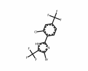 FC(F)(F)c1ccc(-c2nc(Br)c(C(F)(F)F)[nH]2)c(Cl)c1